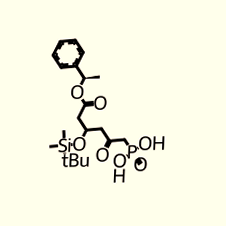 C[C@@H](OC(=O)CC(CC(=O)CP(=O)(O)O)O[Si](C)(C)C(C)(C)C)c1ccccc1